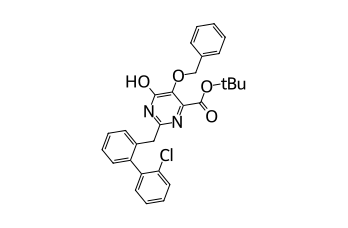 CC(C)(C)OC(=O)c1nc(Cc2ccccc2-c2ccccc2Cl)nc(O)c1OCc1ccccc1